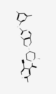 C/C=C(C#N)\C(=C/C(C)=N)C(=O)N1CC[C@@H](N2Cc3cnc(Nc4cc(C)cc(C)c4)nc3C2)C[C@H]1C